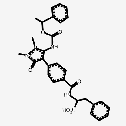 CC(OC(=O)Nc1c(-c2ccc(C(=O)NC(Cc3ccccc3)C(=O)O)cc2)c(=O)n(C)n1C)c1ccccc1